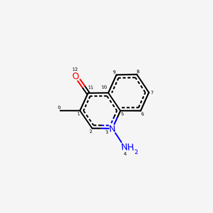 Cc1cn(N)c2ccccc2c1=O